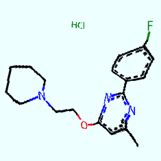 Cc1cc(OCCN2CCCCC2)nc(-c2ccc(F)cc2)n1.Cl